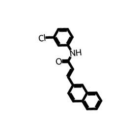 O=C(C=Cc1ccc2ccccc2c1)Nc1cccc(Cl)c1